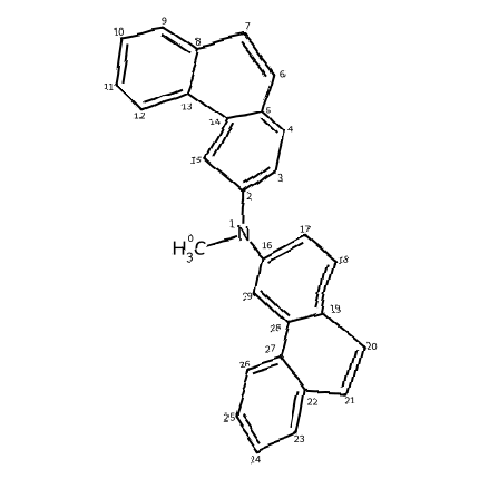 CN(c1ccc2ccc3ccccc3c2c1)c1ccc2ccc3ccccc3c2c1